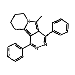 Cc1c2c(-c3ccccc3)nnc(-c3ccccc3)c2c2n1CCCC2